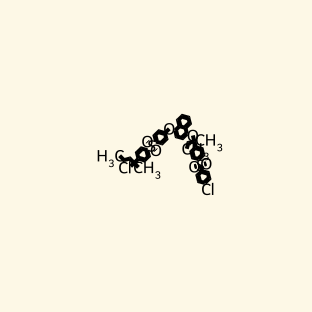 CCCC(C)(Cl)c1ccc(S(=O)(=O)c2ccc(Oc3ccc(OC(C)(CC)c4ccc(S(=O)(=O)c5ccc(Cl)cc5)cc4)c4ccccc34)cc2)cc1